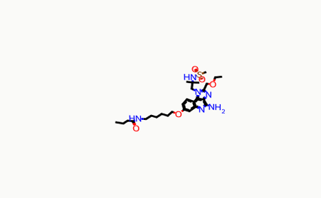 CCCC(=O)NCCCCCCOc1ccc2c(c1)nc(N)c1nc(COCC)n(CC(C)(C)NS(C)(=O)=O)c12